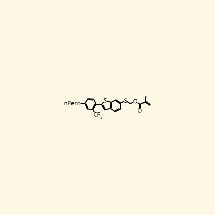 C=C(C)C(=O)OCSc1ccc2cc(-c3ccc(CCCCC)cc3C(F)(F)F)sc2c1